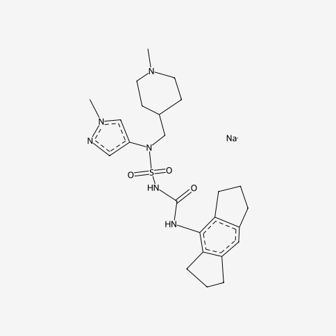 CN1CCC(CN(c2cnn(C)c2)S(=O)(=O)NC(=O)Nc2c3c(cc4c2CCC4)CCC3)CC1.[Na]